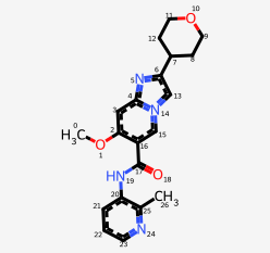 COc1cc2nc(C3CCOCC3)cn2cc1C(=O)Nc1cccnc1C